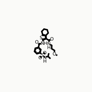 COCCCNC(=O)c1c(NC(=O)c2cccc(S(=O)(=O)NC(C)C)c2)sc2c1CCCC2